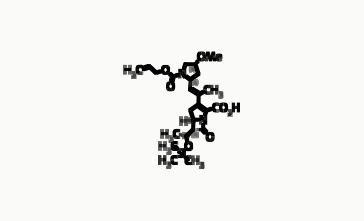 C=CCOC(=O)N1C[C@@H](OC)C[C@H]1C=C(C)C1=C(C(=O)O)N2C(=O)[C@H]([C@@H](C)O[Si](C)(C)C)[C@H]2C1